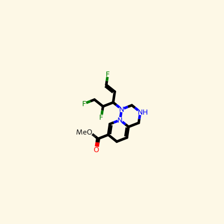 COC(=O)C1=CN2C(=CC1)CNCN2C(C=CF)C(F)CF